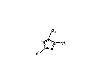 CC(C)n1cc(N)c(C(F)(F)F)n1